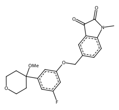 COC1(c2cc(F)cc(OCc3ccc4c(c3)C(=O)C(=O)N4C)c2)CCOCC1